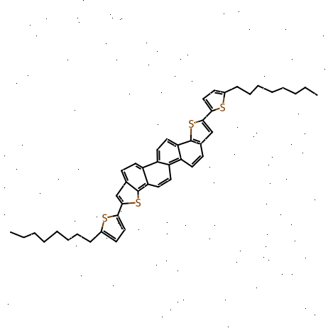 CCCCCCCCc1ccc(-c2cc3ccc4c5ccc6c(ccc7cc(-c8ccc(CCCCCCCC)s8)sc76)c5ccc4c3s2)s1